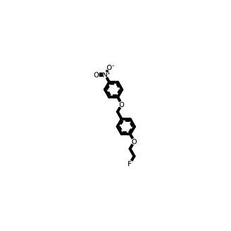 O=[N+]([O-])c1ccc(OCc2ccc(OCCF)cc2)cc1